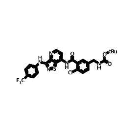 CC(C)(C)OC(=O)NCc1ccc(Cl)c(C(=O)Nc2ccnc3c(Nc4ccc(C(F)(F)F)cc4)nsc23)c1